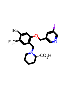 CC(C)(C)c1cc(OCc2cncc(I)c2)c(CN2CCCC[C@H]2C(=O)O)cc1C(F)(F)F